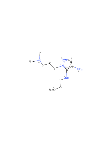 COCCNc1c(N)cnn1CCCN(C)C